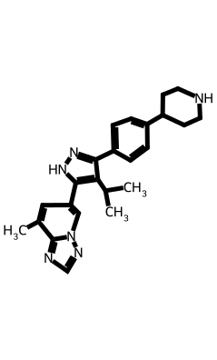 Cc1cc(-c2[nH]nc(-c3ccc(C4CCNCC4)cc3)c2C(C)C)cn2ncnc12